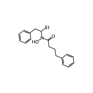 CCC(Cc1ccccc1)N(O)C(=O)CCCc1ccccc1